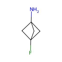 NC12CC(F)(C1)C2